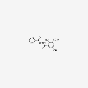 O=C(ONC(=O)c1cc(O)cc(C(=O)O)c1O)c1ccccc1